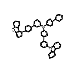 c1ccc(-c2ccc(N(c3ccc(-c4cccc(-n5c6ccccc6c6ccccc65)c4)cc3)c3cccc(-c4ccc(-c5cccc6oc7ccccc7c56)cc4)c3)cc2)cc1